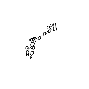 CNC(=O)c1c(-c2ccc(F)cc2)oc2cc(N(CCOCCOCCOC(C(=O)O)c3ccccc3)S(C)(=O)=O)c(C3CC3)cc12